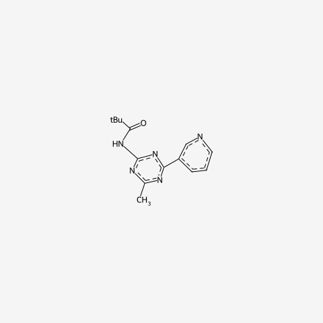 Cc1nc(NC(=O)C(C)(C)C)nc(-c2cccnc2)n1